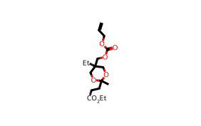 C=CCOC(=O)OCC1(CC)COC(C)(CCC(=O)OCC)OC1